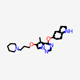 Cc1c(OCCCN2CCCCC2)cn2ncnc(Oc3ccc4[nH]ccc4c3)c12